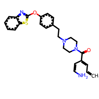 C=C/C=C(\C=C/N)C(=O)N1CCN(CCc2ccc(Oc3nc4ccccc4s3)cc2)CC1